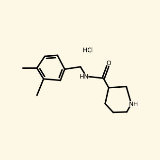 Cc1ccc(CNC(=O)C2CCCNC2)cc1C.Cl